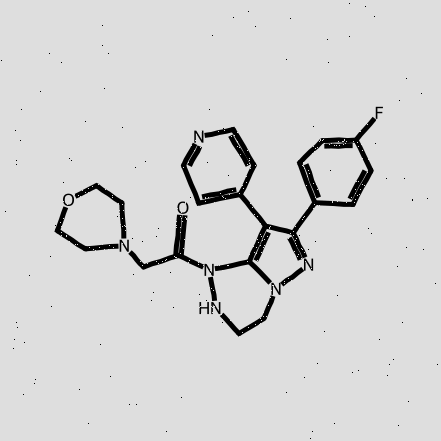 O=C(CN1CCOCC1)N1NCCn2nc(-c3ccc(F)cc3)c(-c3ccncc3)c21